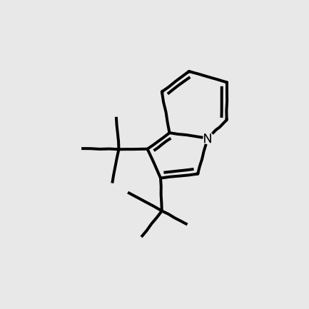 CC(C)(C)c1cn2ccccc2c1C(C)(C)C